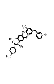 CC(C)N(c1cc(F)c(Oc2ncc(Cc3ccc[n+]([O-])c3)cc2C(F)(F)F)cc1C(=O)O)C(=O)[C@H]1CC[C@H](C)CC1